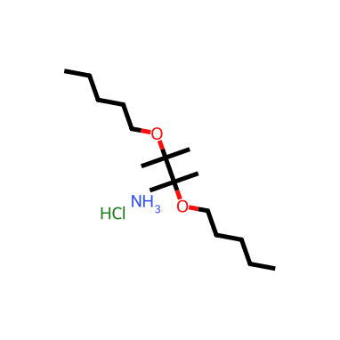 CCCCCOC(C)(C)C(C)(C)OCCCCC.Cl.N